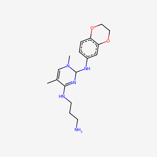 CC1=CN(C)C(Nc2ccc3c(c2)OCCO3)N=C1NCCCN